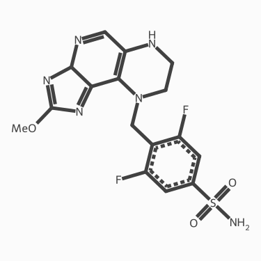 COC1=NC2N=CC3=C(C2=N1)N(Cc1c(F)cc(S(N)(=O)=O)cc1F)CCN3